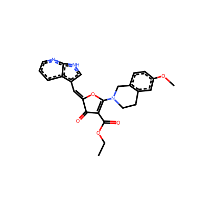 CCOC(=O)C1=C(N2CCc3cc(OC)ccc3C2)OC(=Cc2c[nH]c3ncccc23)C1=O